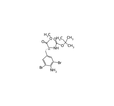 COC(=O)[C@@H](Cc1cc(Br)c(N)c(Br)c1)NC(=O)OC(C)(C)C